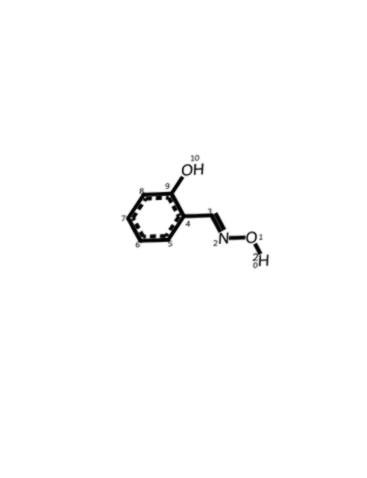 [2H]ON=Cc1ccccc1O